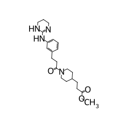 COC(=O)CCC1CCN(C(=O)CCc2cccc(NC3=NCCCN3)c2)CC1